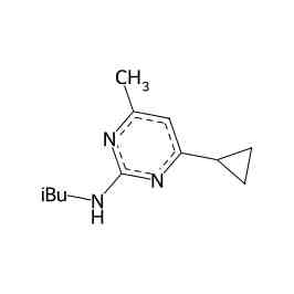 CCC(C)Nc1nc(C)cc(C2CC2)n1